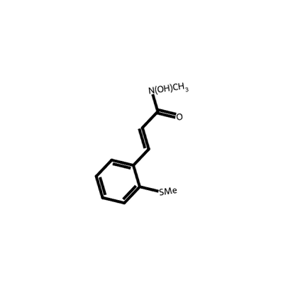 CSc1ccccc1C=CC(=O)N(C)O